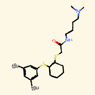 CN(C)CCCCNC(=O)CSC1CCCCC1Sc1cc(C(C)(C)C)cc(C(C)(C)C)c1